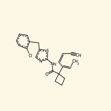 C#C/C=C\C(=C/C)C1(C(=O)Nc2ncc(Cc3ccccc3Cl)s2)CCC1